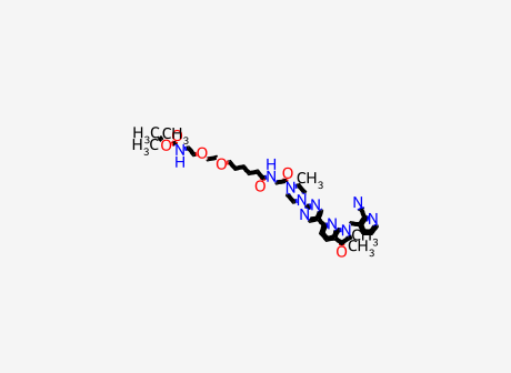 C[C@@H]1CN(c2ncc(-c3ccc4c(n3)N(Cc3cccnc3C#N)C(C)(C)C4=O)cn2)CCN1C(=O)CNC(=O)CCCCCOCCOCCNC(=O)OC(C)(C)C